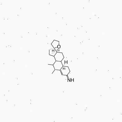 CC1C2=CC(=N)CC[C@@H]2C2CC[C@@]3(C)C(CC[C@@]34CCCO4)C2C1C